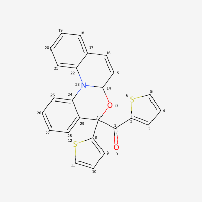 O=C(c1cccs1)C1(c2cccs2)OC2C=Cc3ccccc3N2c2ccccc21